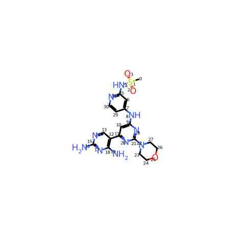 CS(=O)(=O)Nc1cc(Nc2cc(-c3cnc(N)nc3N)nc(N3CCOCC3)n2)ccn1